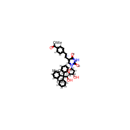 COC(=O)c1ccc(/C=C/c2cn([C@H]3C[C@H](O)[C@@H](C(O)C(c4ccccc4)(c4ccccc4OC)c4ccccc4OC)O3)c(=O)[nH]c2=O)cc1